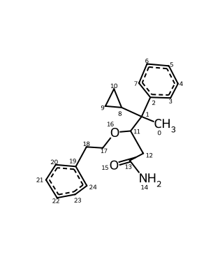 CC(c1ccccc1)(C1CC1)C(CC(N)=O)OCCc1ccccc1